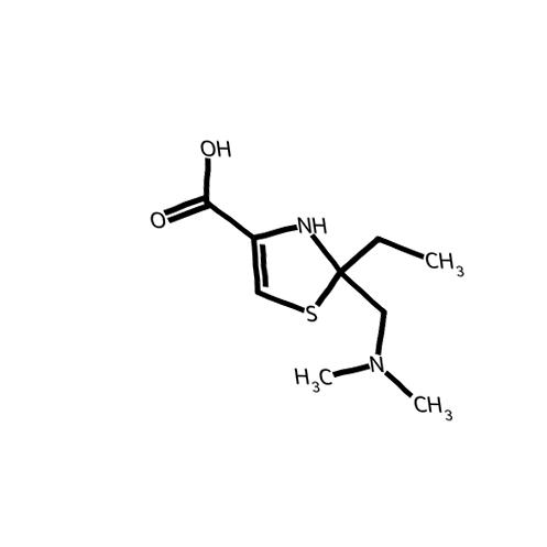 CCC1(CN(C)C)NC(C(=O)O)=CS1